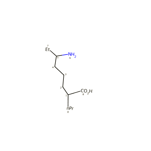 CCCC(CCCC(N)CC)C(=O)O